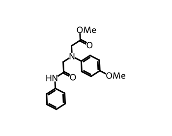 COC(=O)CN(CC(=O)Nc1ccccc1)c1ccc(OC)cc1